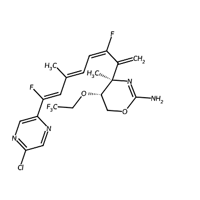 C=C(\C(F)=C/C=C(C)/C=C(\F)c1cnc(Cl)cn1)[C@@]1(C)N=C(N)OC[C@@H]1OCC(F)(F)F